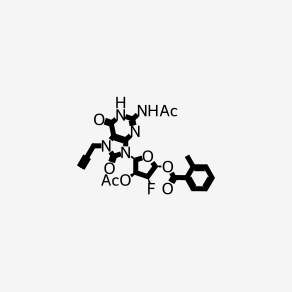 C#CCn1c(=O)n([C@@H]2O[C@H](OC(=O)c3ccccc3C)[C@H](F)[C@H]2OC(C)=O)c2nc(NC(C)=O)[nH]c(=O)c21